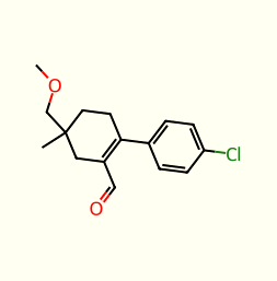 COCC1(C)CCC(c2ccc(Cl)cc2)=C(C=O)C1